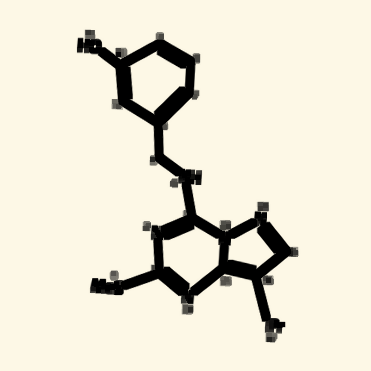 CSc1nc(NCc2cccc(O)c2)n2ncc(C(C)C)c2n1